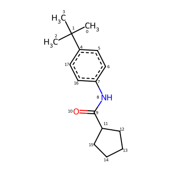 CC(C)(C)c1ccc(NC(=O)C2CCCC2)cc1